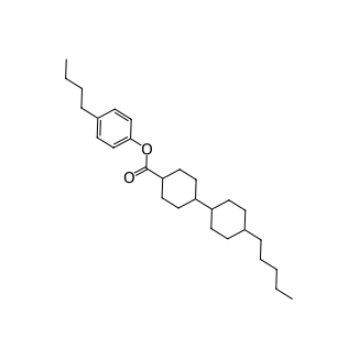 CCCCCC1CCC(C2CCC(C(=O)Oc3ccc(CCCC)cc3)CC2)CC1